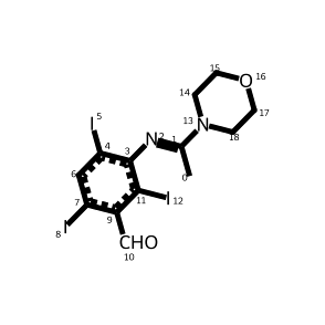 CC(=Nc1c(I)cc(I)c(C=O)c1I)N1CCOCC1